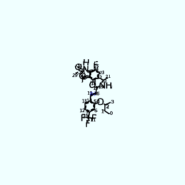 CCC(C)Oc1cc(C(F)(F)F)ccc1/C=C/C(=O)NC(C)c1cc(F)c(NS(C)(=O)=O)c(F)c1